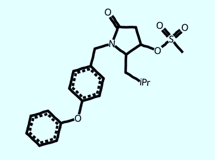 CC(C)CC1C(OS(C)(=O)=O)CC(=O)N1Cc1ccc(Oc2ccccc2)cc1